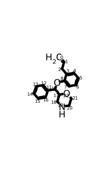 C=CCc1ccccc1OC(c1ccccc1)C1CNCCO1